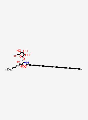 CC#CC#CC#CC#CC#CC#CC#CC#CC#CC#CC#CC#CC(=O)N[C@@H](CO[C@H]1OC(CO)[C@H](O)[C@H](O)C1O)[C@H](O)[C@H](O)CCCCCCCCCCCCCC